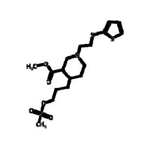 COC(=O)C1CN(CCSc2cccs2)CCC1CCCOS(C)(=O)=O